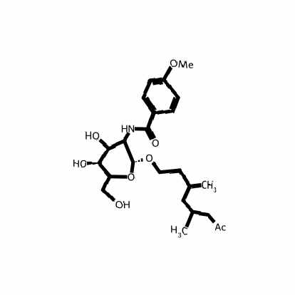 COc1ccc(C(=O)NC2C(O)[C@H](O)C(CO)O[C@H]2OCCC(C)CC(C)CC(C)=O)cc1